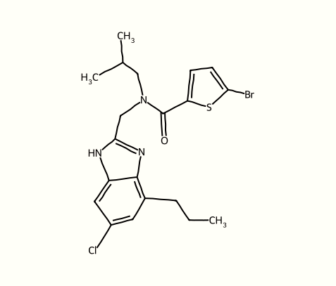 CCCc1cc(Cl)cc2[nH]c(CN(CC(C)C)C(=O)c3ccc(Br)s3)nc12